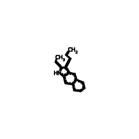 C=C/C=c1\c(=C/C)[nH]c2cc3ccccc3cc12